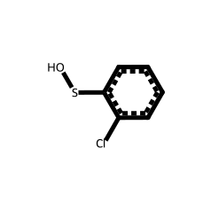 OSc1ccccc1Cl